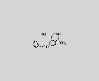 C[C@@H]1CNCCc2cc(OCCc3ccccc3)ccc21.Cl